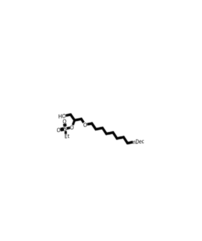 CCCCCCCCCCCCCCCCCCOCC(CO)OS(=O)(=O)CC